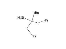 CC(C)CC([SiH3])(CC(C)C)C(C)(C)C